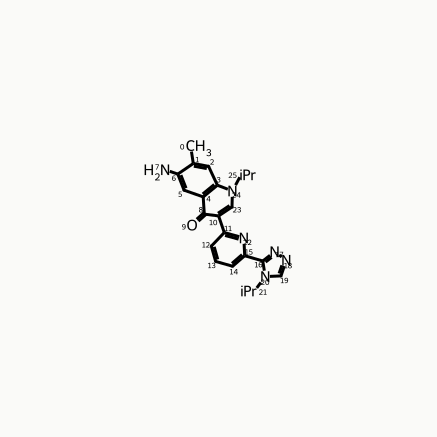 Cc1cc2c(cc1N)c(=O)c(-c1cccc(-c3nncn3C(C)C)n1)cn2C(C)C